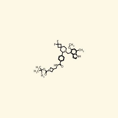 COc1cc(C)c2[nH]ccc2c1CN1CCC2(CC1c1ccc(C(=O)NCC3CN(C(=O)OC(C)(C)C)C3)cc1)CC(F)(F)C2